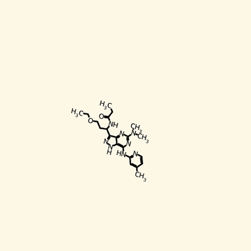 CCOCCC(NC(=O)CC)c1n[nH]c2c(Nc3cc(C)ccn3)nc(N(C)C)nc12